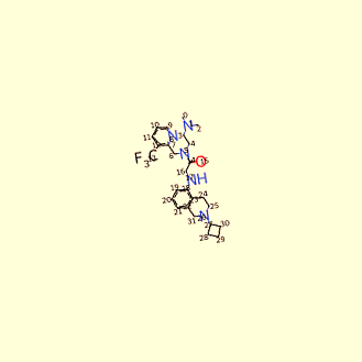 CN(C)CCN(Cc1ncccc1C(F)(F)F)C(=O)CNc1cccc2c1CCN(C1CCC1)C2